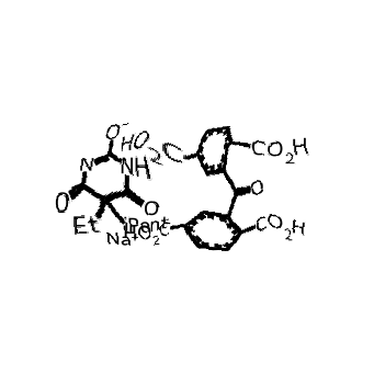 CCCC(C)C1(CC)C(=O)N=C([O-])NC1=O.O=C(O)c1ccc(C(=O)O)c(C(=O)c2cc(C(=O)O)ccc2C(=O)O)c1.[Na+]